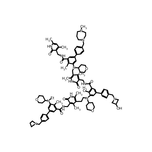 CCN(c1cc(-c2ccc(CN3CCC3)cc2)cc(C(=O)NCc2c(C)c(CCN(c3cc(-c4ccc(CN5CC(O)C5)cc4)cc(C(=O)NCc4c(C)c(CN(c5cc(-c6ccc(CN7CCCN(C)CC7)cc6)cc(C(=O)NCc6c(C)cc(C)[nH]c6=O)c5C)C5CCOCC5)c(C)[nH]c4=O)c3C)C3CCOCC3)c(C)[nH]c2=O)c1C)C1CCOCC1